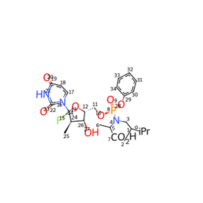 CC(C)C(C)CN(C(C)C(=O)O)[P@@](=O)(OC[C@H]1O[C@@](F)(n2ccc(=O)[nH]c2=O)[C@H](C)[C@@H]1O)Oc1ccccc1